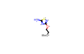 COCCOc1nsc(N)n1